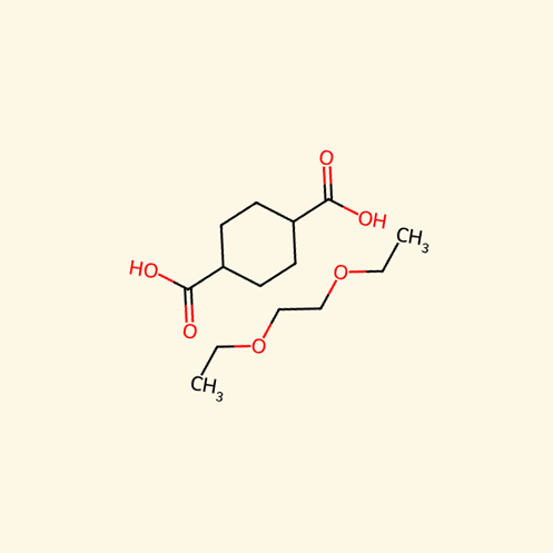 CCOCCOCC.O=C(O)C1CCC(C(=O)O)CC1